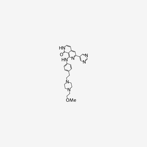 COCCN1CCN(CCc2ccc(Nc3nc(-c4cncnc4)cc4cc[nH]c(=O)c34)cc2)CC1